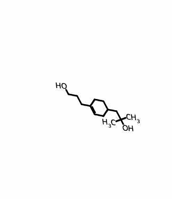 CC(C)(O)CC1CC=C(CCCO)CC1